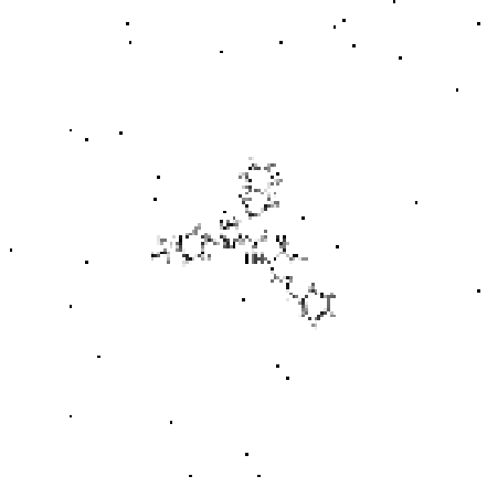 O=C(NC(COCc1ccccc1)C(=O)O)c1nc(-c2ccc(C(F)(F)F)cc2)oc1-c1ccc2ccccc2n1